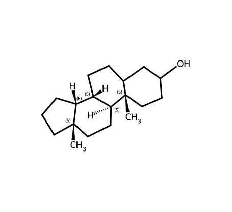 C[C@@]12CCC[C@@H]1[C@@H]1CCC3CC(O)CC[C@]3(C)[C@H]1CC2